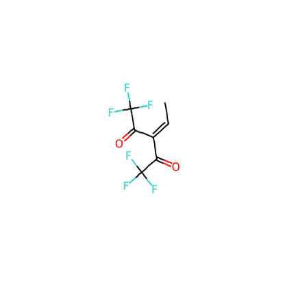 CC=C(C(=O)C(F)(F)F)C(=O)C(F)(F)F